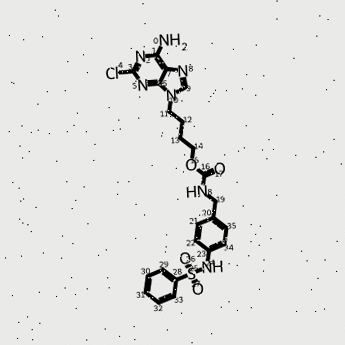 Nc1nc(Cl)nc2c1ncn2CCCCOC(=O)NCc1ccc(NS(=O)(=O)c2ccccc2)cc1